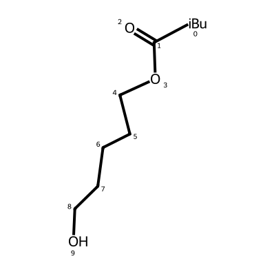 CCC(C)C(=O)OCCCCCO